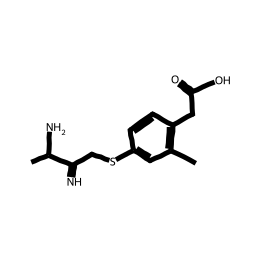 Cc1cc(SCC(=N)C(C)N)ccc1CC(=O)O